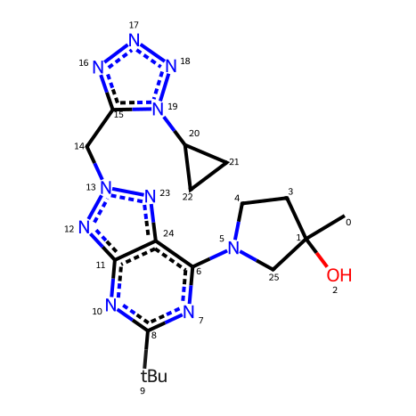 CC1(O)CCN(c2nc(C(C)(C)C)nc3nn(Cc4nnnn4C4CC4)nc23)C1